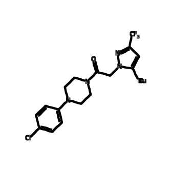 CCC(C)c1cc(C(F)(F)F)nn1CC(=O)N1CCN(c2ccc(Cl)cc2)CC1